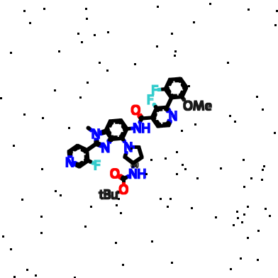 COc1cccc(F)c1-c1nccc(C(=O)Nc2ccc3c(nc(-c4ccncc4F)n3C)c2N2CC[C@H](NC(=O)OC(C)(C)C)C2)c1F